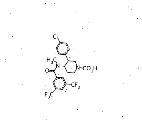 CN(C(=O)c1cc(C(F)(F)F)cc(C(F)(F)F)c1)C1CCN(C(=O)O)CC1c1ccc(Cl)cc1